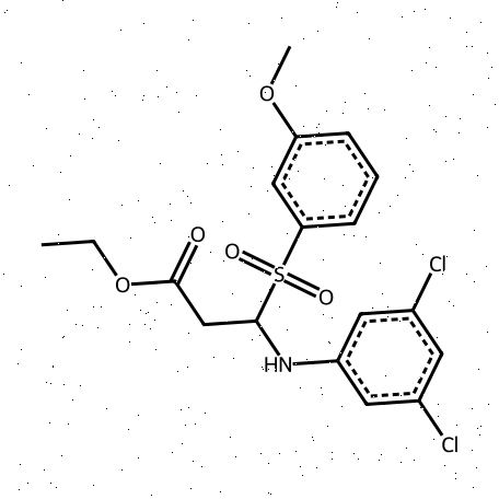 CCOC(=O)CC(Nc1cc(Cl)cc(Cl)c1)S(=O)(=O)c1cccc(OC)c1